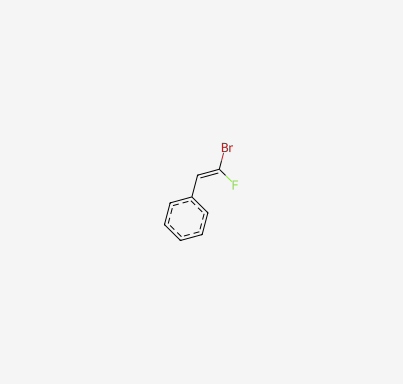 F/C(Br)=C\c1ccccc1